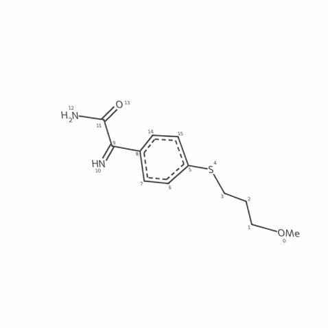 COCCCSc1ccc(C(=N)C(N)=O)cc1